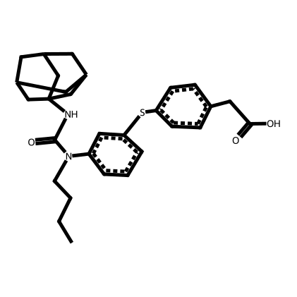 CCCCN(C(=O)NC12CC3CC(CC(C3)C1)C2)c1cccc(Sc2ccc(CC(=O)O)cc2)c1